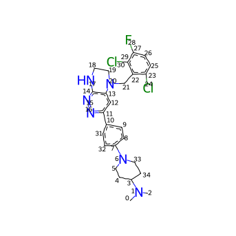 CN(C)C1CCN(c2ccc(-c3cc4c(nn3)NCCN4Cc3c(Cl)ccc(F)c3Cl)cc2)CC1